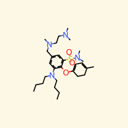 CCCCN(CCCC)c1cc(CN(C)CCN(C)C)cc(S(=O)(=O)N(C)C)c1OC1=CC=C(C)CC1